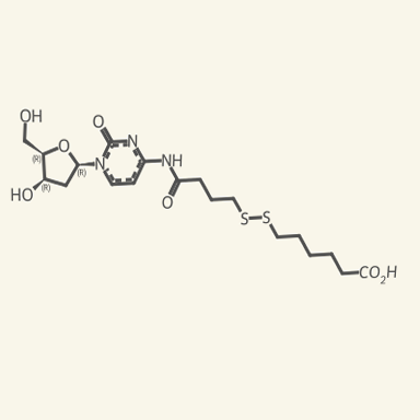 O=C(O)CCCCCSSCCCC(=O)Nc1ccn([C@H]2C[C@@H](O)[C@@H](CO)O2)c(=O)n1